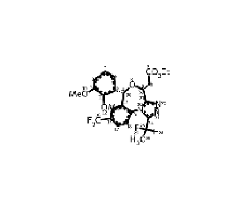 CCOC(=O)C[C@@H]1O[C@@H](c2cccc(OC)c2OC)c2cc(C(F)(F)F)ccc2-n2c1nnc2C(C)(F)F